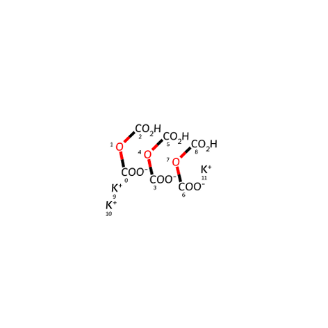 O=C([O-])OC(=O)O.O=C([O-])OC(=O)O.O=C([O-])OC(=O)O.[K+].[K+].[K+]